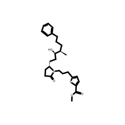 COC(=O)c1ccc(CCCN2C(=O)CC[C@@H]2CC[C@@H](O)[C@H](C)CCCc2ccccc2)s1